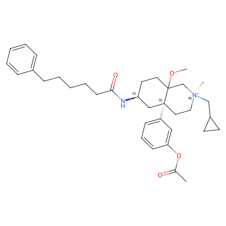 COC12CC[C@H](NC(=O)CCCCCc3ccccc3)C[C@]1(c1cccc(OC(C)=O)c1)CC[N@+](C)(CC1CC1)C2